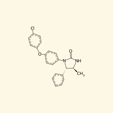 C[C@@H]1NC(=O)N(c2ccc(Oc3ccc(Cl)cc3)cc2)[C@H]1c1ccccc1